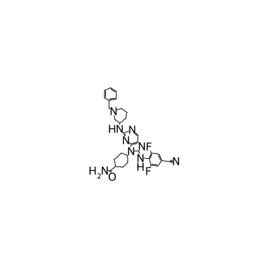 N#Cc1cc(F)c(Nc2nc3cnc(NC4CCCN(Cc5ccccc5)C4)nc3n2C2CCC(C(N)=O)CC2)c(F)c1